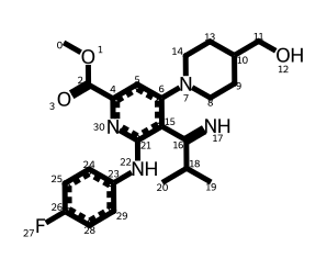 COC(=O)c1cc(N2CCC(CO)CC2)c(C(=N)C(C)C)c(Nc2ccc(F)cc2)n1